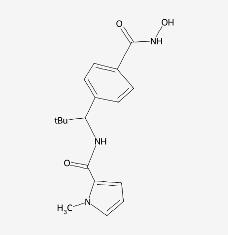 Cn1cccc1C(=O)NC(c1ccc(C(=O)NO)cc1)C(C)(C)C